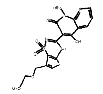 CCCCn1c(=O)c(C2=NS(=O)(=O)c3c(COCOC)csc3N2)c(O)c2cccnc21